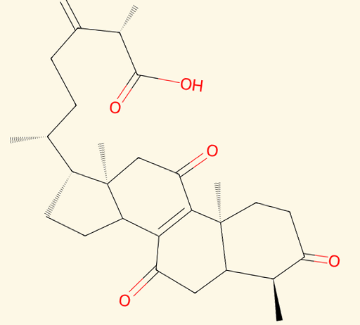 C=C(CC[C@@H](C)[C@H]1CCC2C3=C(C(=O)C[C@@]21C)[C@@]1(C)CCC(=O)[C@@H](C)C1CC3=O)[C@H](C)C(=O)O